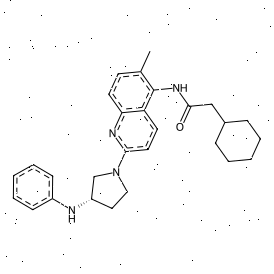 Cc1ccc2nc(N3CC[C@H](Nc4ccccc4)C3)ccc2c1NC(=O)CC1CCCCC1